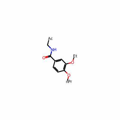 CCCOc1ccc(C(=O)NCC(C)=O)cc1OCC